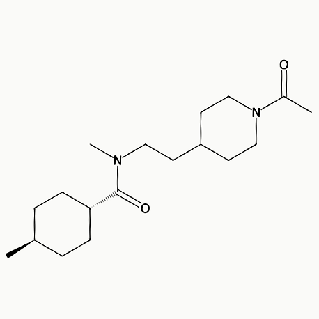 CC(=O)N1CCC(CCN(C)C(=O)[C@H]2CC[C@H](C)CC2)CC1